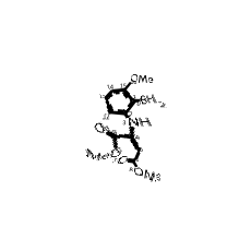 Bc1c(N/C(=C/C(=O)OC)C(=O)OC)cccc1OC